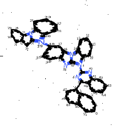 c1ccc2c(-c3nc(-n4c5ccccc5n5c6cc(-n7c8ccccc8n8c9ccccc9cc78)ccc6nc45)nc4ccccc34)cccc2c1